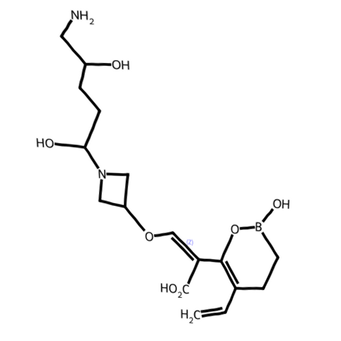 C=CC1=C(/C(=C/OC2CN(C(O)CCC(O)CN)C2)C(=O)O)OB(O)CC1